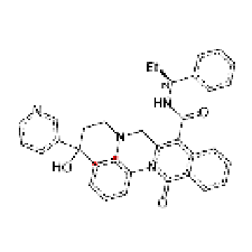 CC[C@H](NC(=O)c1c(CN2CCC(O)(c3cccnc3)CC2)n(-c2ccccc2)c(=O)c2ccccc12)c1ccccc1